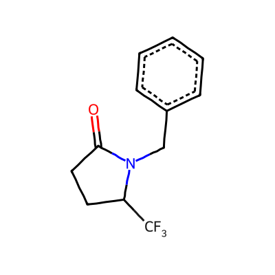 O=C1CCC(C(F)(F)F)N1Cc1ccccc1